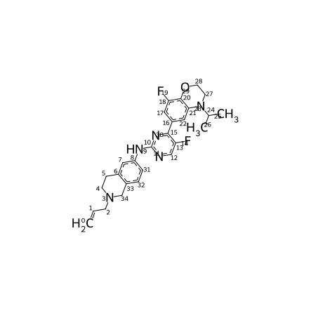 C=CCN1CCc2cc(Nc3ncc(F)c(-c4cc(F)c5c(c4)N(C(C)C)CCO5)n3)ccc2C1